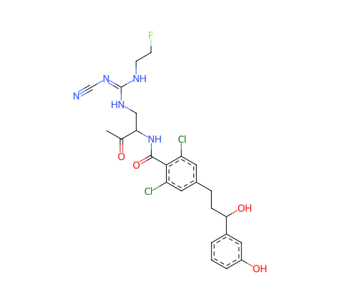 CC(=O)C(CN/C(=N\C#N)NCCF)NC(=O)c1c(Cl)cc(CCC(O)c2cccc(O)c2)cc1Cl